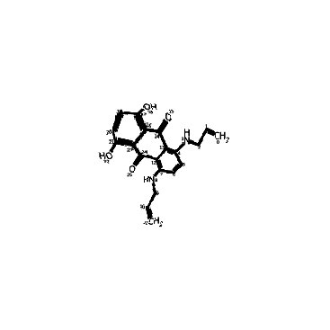 C=CCNc1ccc(NCC=C)c2c1C(=O)c1c(O)ccc(O)c1C2=O